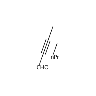 CC#CC=O.CCCC